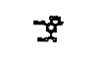 COC(=O)c1cc(OC)c(OC)c(Br)n1